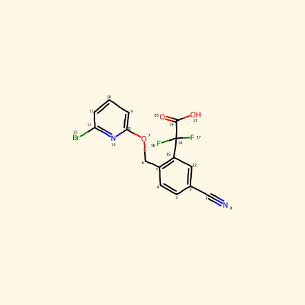 N#Cc1ccc(COc2cccc(Br)n2)c(C(F)(F)C(=O)O)c1